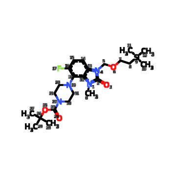 Cn1c(=O)n(COCC[Si](C)(C)C)c2ccc(F)c(N3CCN(C(=O)OC(C)(C)C)CC3)c21